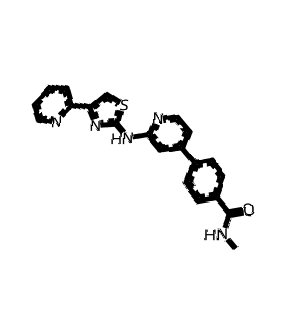 CNC(=O)c1ccc(-c2ccnc(Nc3nc(-c4ccccn4)cs3)c2)cc1